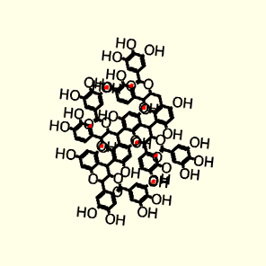 O=C(OC1Cc2c(O)cc(O)c(C3c4c(O)cc(O)c(C5c6c(O)cc(O)c(C7c8c(O)cc(O)cc8OC(c8ccc(O)c(O)c8)C7OC(=O)c7cc(O)c(O)c(O)c7)c6OC(c6ccc(O)c(O)c6)C5OC(=O)c5cc(O)c(O)c(O)c5)c4OC(c4ccc(O)c(O)c4)C3OC(=O)c3cc(O)c(O)c(O)c3)c2OC1c1ccc(O)c(O)c1)c1cc(O)c(O)c(O)c1